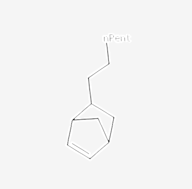 CCCCCCC[C]1CC2C=CC1C2